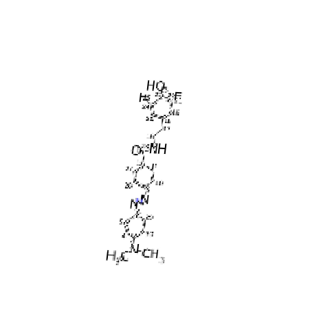 CN(C)c1ccc(/N=N/c2ccc(C(=O)NCCc3cc(F)c(O)c(F)c3)cc2)cc1